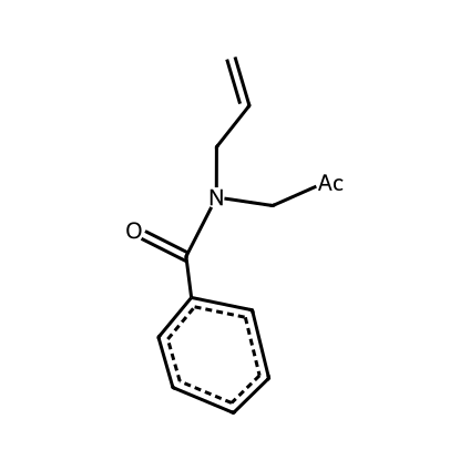 C=CCN(CC(C)=O)C(=O)c1ccccc1